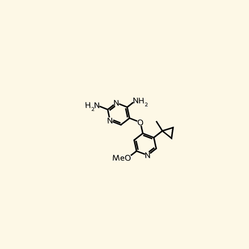 COc1cc(Oc2cnc(N)nc2N)c(C2(C)CC2)cn1